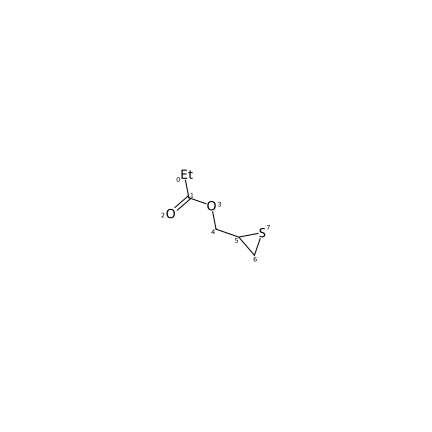 CCC(=O)OCC1CS1